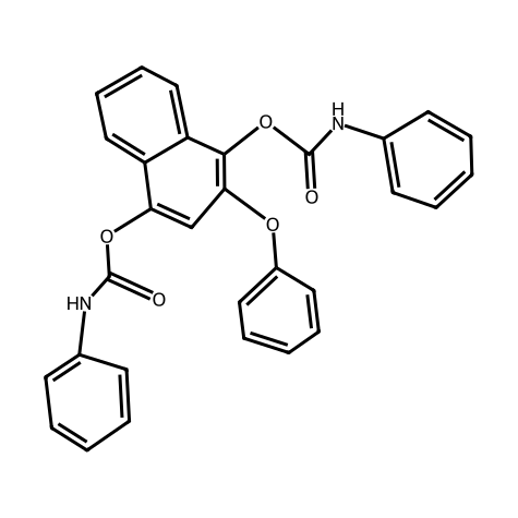 O=C(Nc1ccccc1)Oc1cc(Oc2ccccc2)c(OC(=O)Nc2ccccc2)c2ccccc12